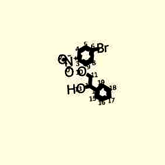 O=[N+]([O-])c1ccc(Br)cc1OCC(O)c1ccccc1